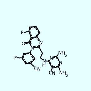 N#Cc1cc(F)cc(-n2c(CCNc3nc(N)nc(N)c3C#N)nc3cccc(F)c3c2=O)c1